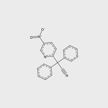 N#CC(c1ccccc1)(c1ccccc1)c1ccc([N+](=O)[O-])cn1